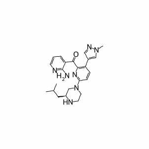 CC(C)C[C@H]1CN(c2ccc(-c3cnn(C)c3)c(C(=O)c3cccnc3N)n2)CCN1